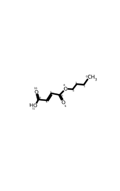 CCCCOC(=O)C=CC(=O)O